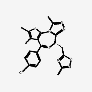 Cc1noc(C[C@@H]2N=C(c3ccc(Cl)cc3)c3c(sc(C)c3C)-n3c(C)nnc32)n1